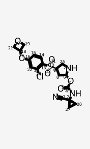 N#CC1(NC(=O)O[C@H]2C[C@@H](S(=O)(=O)c3ccc(OC4COC4)cc3Cl)CN2)CC1